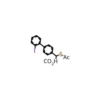 CC(=O)SC(C(=O)O)c1ccc(-c2ccccc2I)cc1